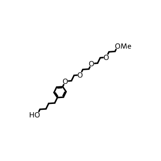 COCCOCCOCCOCCOc1ccc(CCCCO)cc1